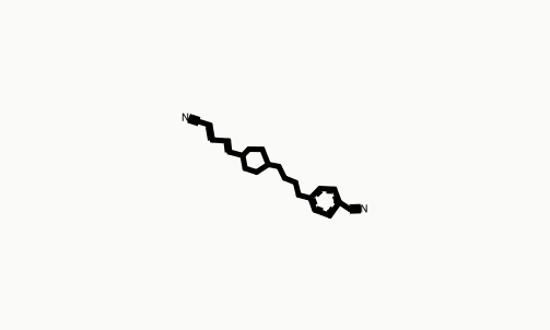 N#CC=CC=CC1CCC(CCCCc2ccc(C#N)cc2)CC1